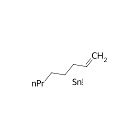 C=CCCCCCC.[Sn]